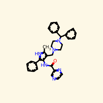 Cc1[nH]c(-c2ccccc2)c(NC(=O)c2cnccn2)c1CN1CCN(C(c2ccccc2)c2ccccc2)CC1